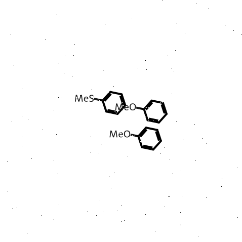 COc1ccccc1.COc1ccccc1.CSc1ccccc1